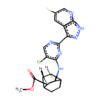 COC(=O)[C@H]1C2CCC(CC2)[C@@H]1Nc1nc(-c2n[nH]c3ncc(F)cc23)ncc1Cl